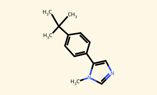 Cn1cncc1-c1ccc(C(C)(C)C)cc1